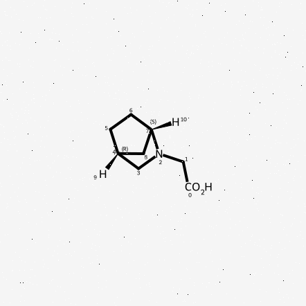 O=C(O)CN1C[C@@H]2CC[C@H]1C2